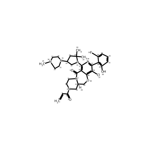 C=CC(=O)N1CCN2C(=O)c3c(N4CC(N5CCN(C)CC5)CC4(C)C)nc(-c4c(O)cccc4F)c(Cl)c3OC[C@H]2C1